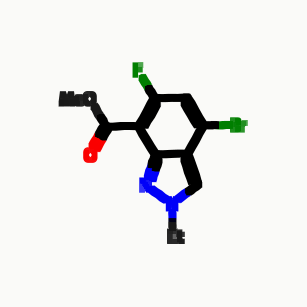 CCn1cc2c(Br)cc(F)c(C(=O)OC)c2n1